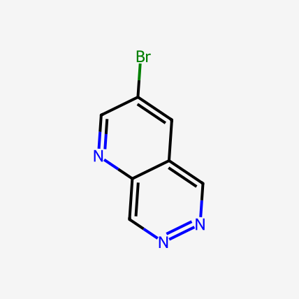 Brc1cnc2cnncc2c1